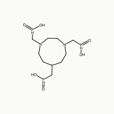 O=[PH](O)CN1CCN(C[PH](=O)O)CCN(C[PH](=O)O)CC1